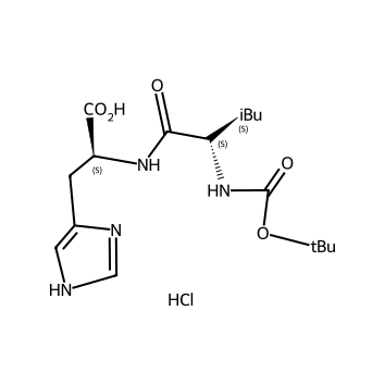 CC[C@H](C)[C@H](NC(=O)OC(C)(C)C)C(=O)N[C@@H](Cc1c[nH]cn1)C(=O)O.Cl